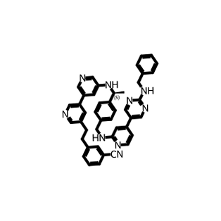 C[C@H](Nc1cncc(-c2cncc(CCc3cccc(C#N)c3)c2)c1)c1ccc(CNc2cc(-c3cnc(NCc4ccccc4)nc3)ccn2)cc1